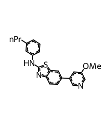 CCCc1cccc(Nc2nc3ccc(-c4cncc(OC)c4)cc3s2)c1